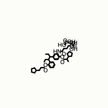 CCC(c1ccc(OC(=O)C(C)C2CCCC2)c(NC(=O)CCC(P(=O)(O)O)P(=O)(O)O)c1)C(CC)c1ccccc1OC(=O)CCC1CCCC1